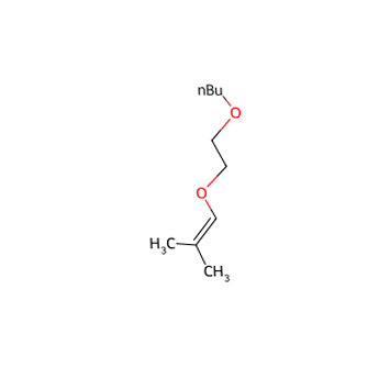 CCCCOCCOC=C(C)C